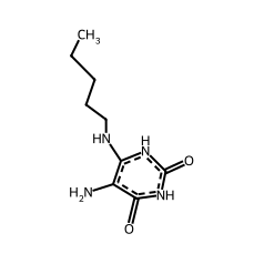 CCCCCNc1[nH]c(=O)[nH]c(=O)c1N